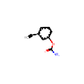 C#Cc1cccc(OC(N)=O)c1